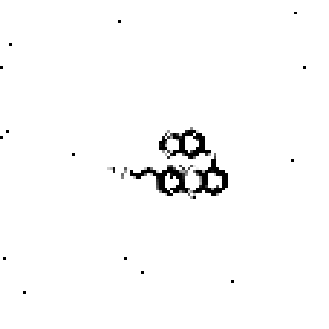 CCOC(=O)CCc1ccc(Oc2cccc(Oc3ccc4c(c3)OCO4)c2C(=O)OCC)cc1